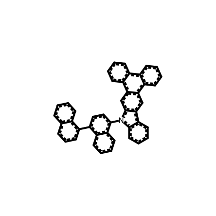 c1ccc2c(-c3ccc(-n4c5ccccc5c5cc6c7ccccc7c7ccccc7c6cc54)c4ccccc34)cccc2c1